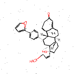 C[C@]12C[C@H](c3ccc(-c4ccco4)cc3)[C@H]3[C@@H](CCC4=CC(=O)CC[C@@H]43)[C@@H]1CC[C@@]2(O)/C=C\CO